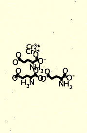 NC(CCC(=O)[O-])C(=O)[O-].NC(CCC(=O)[O-])C(=O)[O-].NC(CCC(=O)[O-])C(=O)[O-].[Cr+3].[Cr+3]